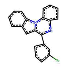 Brc1cccc(-c2nc3ccccc3n3c2cc2ccccc23)c1